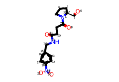 O=C[C@@H]1CCCN1C(=O)CCC(=O)NCc1ccc([N+](=O)[O-])cc1